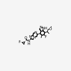 COCC(C)c1c(F)c(C)c(-c2cn3cc(NC(=O)[C@@H]4C[C@@H]4F)nc3cn2)c2cn[nH]c12